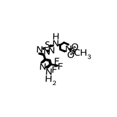 CS(=O)(=O)N1CCC(Nc2nn3c(-c4cnc(N)c(C(F)(F)F)c4)cnc3s2)CC1